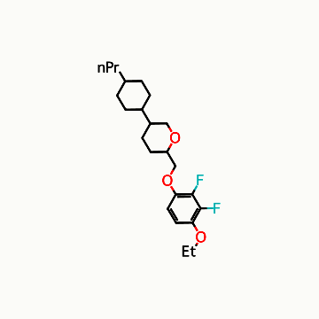 CCCC1CCC(C2CCC(COc3ccc(OCC)c(F)c3F)OC2)CC1